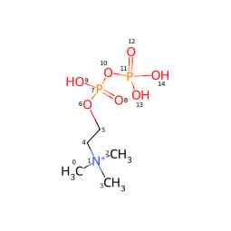 C[N+](C)(C)CCOP(=O)(O)OP(=O)(O)O